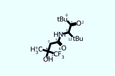 CC(C)(C)C(=O)C(NC(=O)CC(C)(O)C(F)(F)F)C(C)(C)C